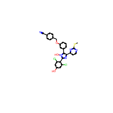 CSc1nccc(-c2nc(-c3c(Cl)cc(O)cc3Cl)n(O)c2-c2cccc(OCc3ccc(C#N)cc3)c2)n1